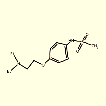 CCN(CC)CCOc1ccc(NS(C)(=O)=O)cc1